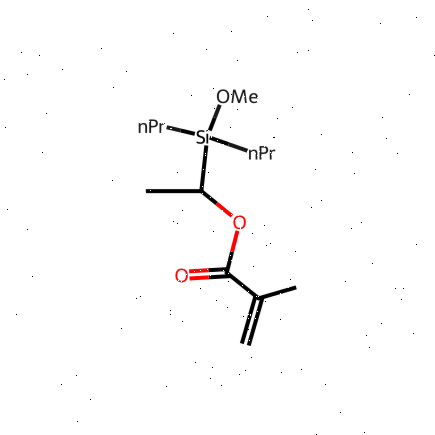 C=C(C)C(=O)OC(C)[Si](CCC)(CCC)OC